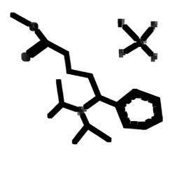 COC(=O)CCCC(c1ccccc1)[S+](C(C)C)C(C)C.F[B-](F)(F)F